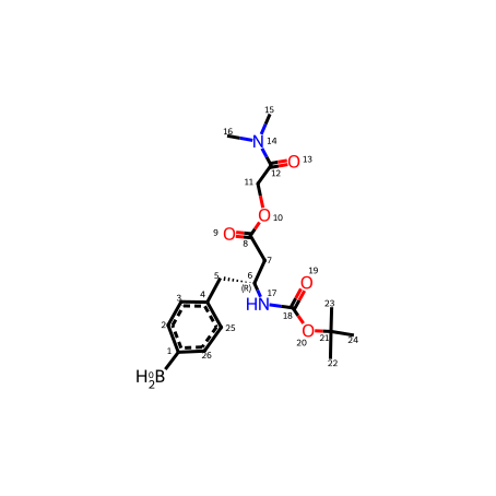 Bc1ccc(C[C@H](CC(=O)OCC(=O)N(C)C)NC(=O)OC(C)(C)C)cc1